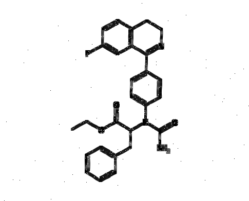 CCOC(=O)C(Cc1ccccc1)N(C(N)=O)c1ccc(C2=NCCc3ccc(F)cc32)cc1